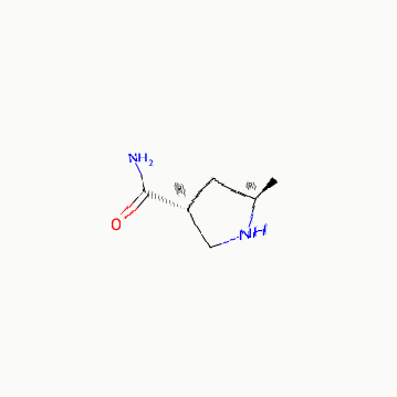 C[C@@H]1C[C@@H](C(N)=O)CN1